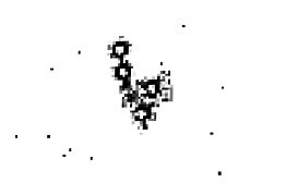 Cc1ccc(NC(=O)N(Cc2ccc(-c3ccccc3)cc2)Cc2ccc(Cl)c(Cl)c2)c(C)c1